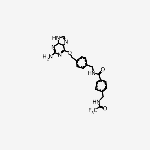 NC1=NC2NC=NC2C(OCc2ccc(CNC(=O)c3ccc(CNC(=O)C(F)(F)F)cc3)cc2)=N1